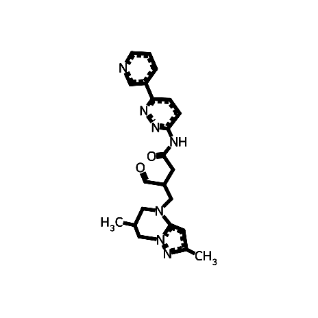 Cc1cc2n(n1)CC(C)CN2CC(C=O)CC(=O)Nc1ccc(-c2cccnc2)nn1